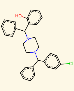 Oc1ccccc1C(c1ccccc1)N1CCN(C(c2ccccc2)c2ccc(Cl)cc2)CC1